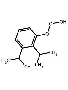 CC(C)c1cccc(OOO)c1C(C)C